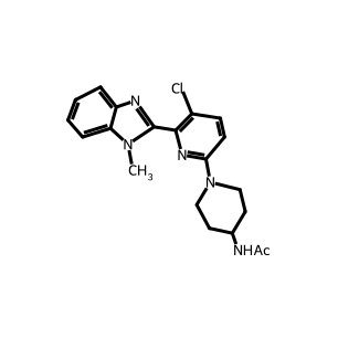 CC(=O)NC1CCN(c2ccc(Cl)c(-c3nc4ccccc4n3C)n2)CC1